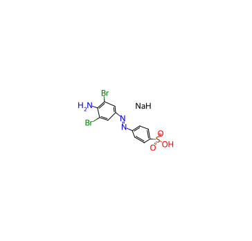 Nc1c(Br)cc(/N=N/c2ccc(S(=O)(=O)O)cc2)cc1Br.[NaH]